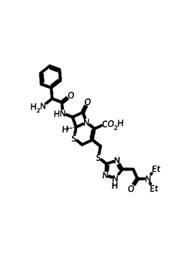 CCN(CC)C(=O)Cc1nc(SCC2=C(C(=O)O)N3C(=O)C(NC(=O)C(N)c4ccccc4)[C@@H]3SC2)n[nH]1